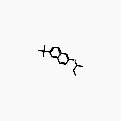 CCC(C)Oc1ccc2[o+]c(C(C)(C)C)ccc2c1